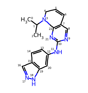 CC(C)N1CC=Cc2cnc(Nc3ccc4cn[nH]c4c3)nc21